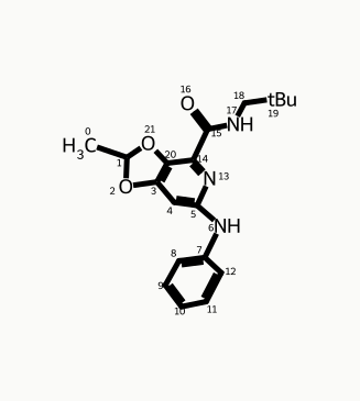 CC1Oc2cc(Nc3ccccc3)nc(C(=O)NCC(C)(C)C)c2O1